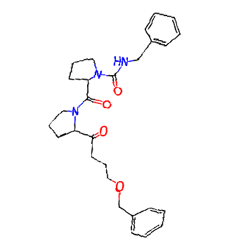 O=C(CCCOCc1ccccc1)C1CCCN1C(=O)C1CCCN1C(=O)NCc1ccccc1